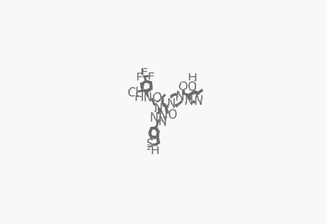 [2H]c1cc2cc(-c3nc4n(CC(=O)Nc5ccc(C(F)(F)F)cc5Cl)c(CC)c(N5CCN(C(=O)c6ncnc(C)c6O)CC5)c(=O)n4n3)ccc2s1